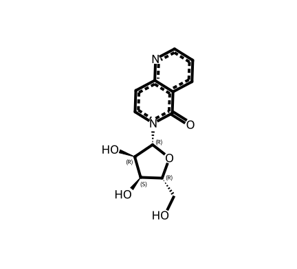 O=c1c2cccnc2ccn1[C@@H]1O[C@H](CO)[C@@H](O)[C@H]1O